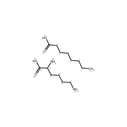 CCCCCCCC(=O)O.NCCCCC(N)C(=O)O